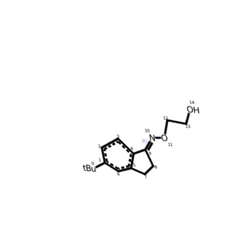 CC(C)(C)c1ccc2c(c1)CC/C2=N\OCCO